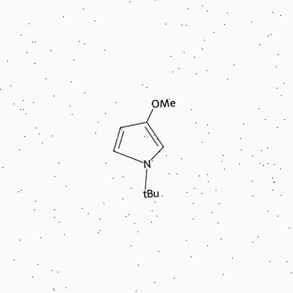 COc1ccn(C(C)(C)C)c1